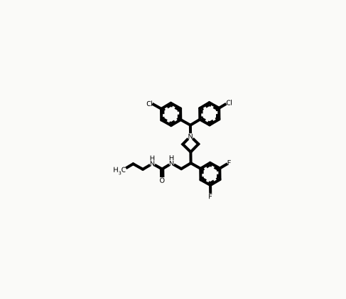 CCCNC(=O)NCC(c1cc(F)cc(F)c1)C1CN(C(c2ccc(Cl)cc2)c2ccc(Cl)cc2)C1